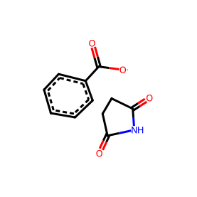 O=C1CCC(=O)N1.[O]C(=O)c1ccccc1